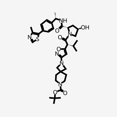 Cc1ncsc1-c1ccc([C@H](C)NC(=O)[C@@H]2C[C@@H](O)CN2C(=O)[C@@H](c2cc(N3CC4(CCN(C(=O)OC(C)(C)C)CC4)C3)no2)C(C)C)cc1